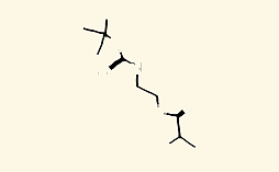 CC(S)C(=O)OCCNC(=O)OC(C)(C)C